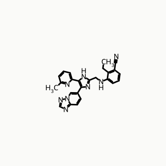 CCc1c(C#N)cccc1NCc1nc(-c2ccc3ncnn3c2)c(-c2cccc(C)n2)[nH]1